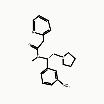 CN(C(=O)Cc1ccccn1)[C@H](CN1CCCC1)c1cccc([N+](=O)[O-])c1